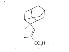 CC(=CC1(C)[C]2CC3CC(C2)CC1C3)C(=O)O